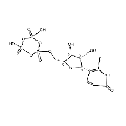 O=c1ccc([C@@H]2O[C@H](COP3(=O)OP(=O)(O)OP(=O)(O)O3)[C@H](O)[C@@H]2O)c(F)[nH]1